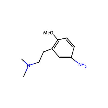 COc1ccc(N)cc1CCN(C)C